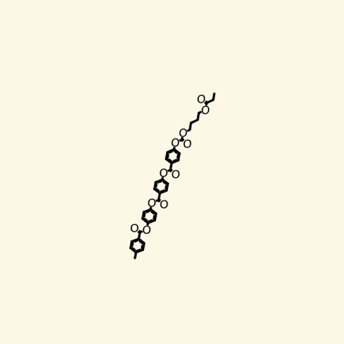 CCC(=O)OCCCCOC(=O)Oc1ccc(C(=O)Oc2ccc(C(=O)Oc3ccc(OC(=O)c4ccc(C)cc4)cc3)cc2)cc1